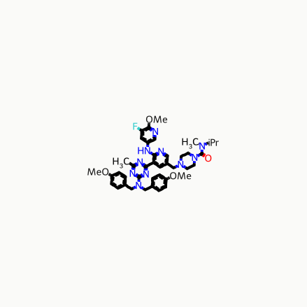 COc1ccc(CN(Cc2ccc(OC)cc2)c2nc(C)nc(-c3cc(CN4CCN(C(=O)N(C)C(C)C)CC4)cnc3Nc3cnc(OC)c(F)c3)n2)cc1